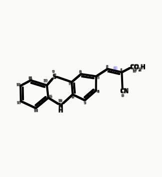 N#C/C(=C\c1ccc2c(c1)Sc1ccccc1N2)C(=O)O